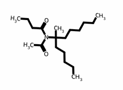 CCCCCCC(C)(CCCCC)N(C(C)=O)C(=O)CCC